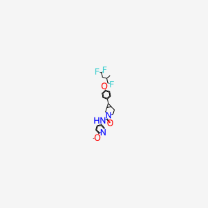 COc1ccc(NC(=O)N2CCC3C(C2)C3c2ccc(OC(F)C(C)CC(F)F)cc2)cn1